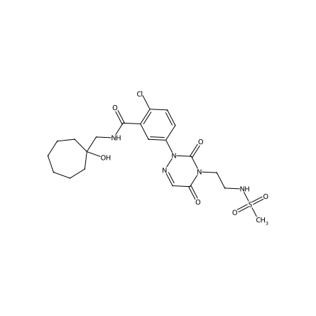 CS(=O)(=O)NCCn1c(=O)cnn(-c2ccc(Cl)c(C(=O)NCC3(O)CCCCCC3)c2)c1=O